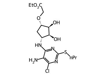 CCCSc1nc(Cl)c(N)c(N[C@@H]2C[C@H](OCC(=O)OCC)[C@@H](O)[C@H]2O)n1